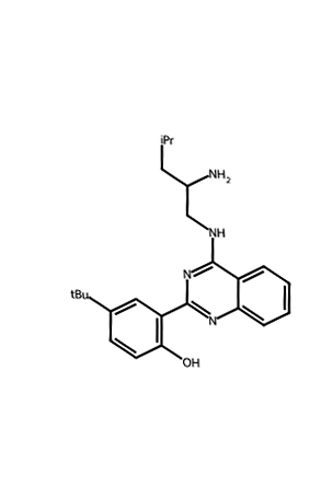 CC(C)CC(N)CNc1nc(-c2cc(C(C)(C)C)ccc2O)nc2ccccc12